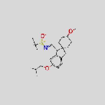 CO[C@H]1CC[C@]2(CC1)Cc1ccc(OCC(C)C)cc1C2C=N[S+]([O-])C(C)(C)C